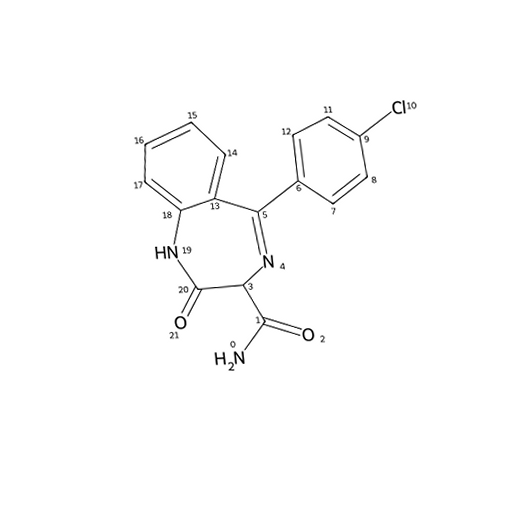 NC(=O)C1N=C(c2ccc(Cl)cc2)c2ccccc2NC1=O